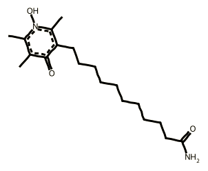 Cc1c(C)n(O)c(C)c(CCCCCCCCCCC(N)=O)c1=O